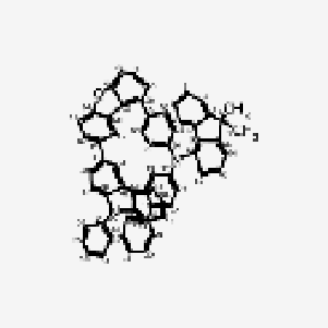 CC1(C)c2ccccc2-c2c(N(c3ccc(-c4ccccc4)cc3)c3ccc(-c4cccc5oc6ccc(-c7ccc8c(c7)c7ccccc7n8-c7ccccc7)cc6c45)cc3)cccc21